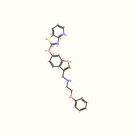 c1ccc(OCCNCc2coc3cc(Oc4nc5ncccc5s4)ccc23)cc1